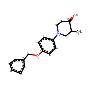 CC1CN(c2ccc(OCc3ccccc3)cc2)CCC1=O